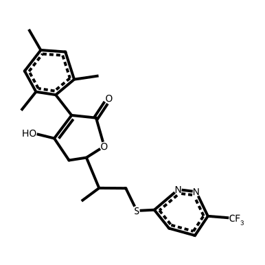 Cc1cc(C)c(C2=C(O)CC(C(C)CSc3ccc(C(F)(F)F)nn3)OC2=O)c(C)c1